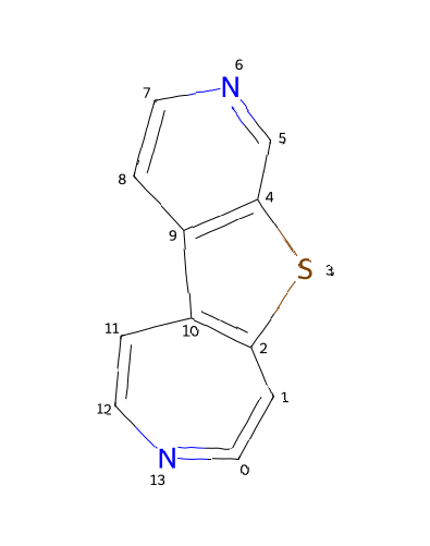 C1=Cc2sc3cnccc3c2C=CN=1